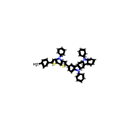 Cc1ccc(-c2cc3c(s2)c2sc(-c4ccc5c(c4)c4cc6c(cc4n5-c4ccccc4)c4ccccc4n6-c4ccccc4)cc2n3-c2ccccc2)cc1